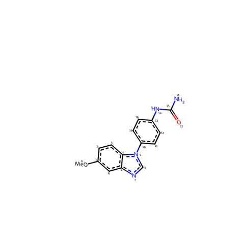 COc1ccc2c(c1)ncn2-c1ccc(NC(N)=O)cc1